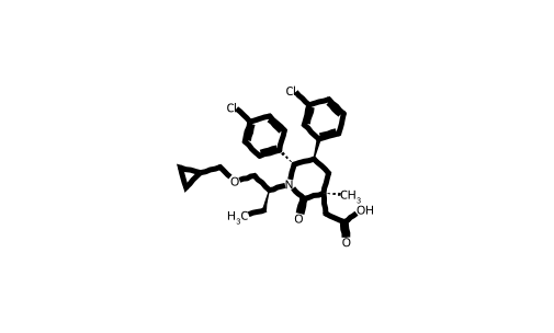 CC[C@@H](COCC1CC1)N1C(=O)[C@](C)(CC(=O)O)C[C@H](c2cccc(Cl)c2)[C@H]1c1ccc(Cl)cc1